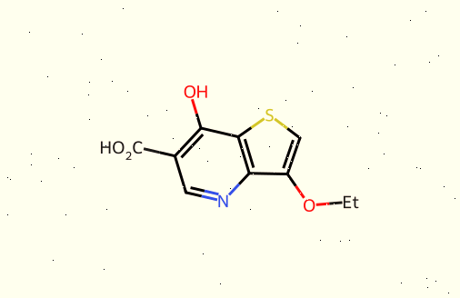 CCOc1csc2c(O)c(C(=O)O)cnc12